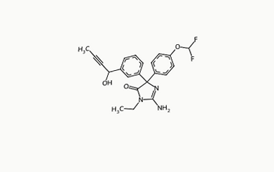 CC#CC(O)c1cccc(C2(c3ccc(OC(F)F)cc3)N=C(N)N(CC)C2=O)c1